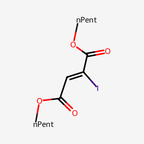 CCCCCOC(=O)C=C(I)C(=O)OCCCCC